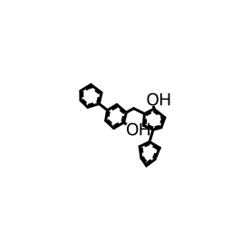 Oc1ccc(-c2ccccc2)cc1Cc1cc(-c2ccccc2)ccc1O